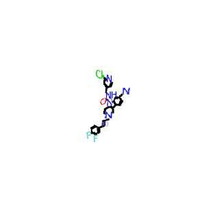 N#Cc1ccc2c3c(n(C(=O)NCc4ccnc(Cl)c4)c2c1)CCN(C/C=C/c1ccc(F)c(F)c1)C3